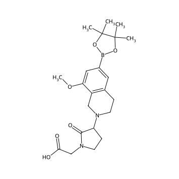 COc1cc(B2OC(C)(C)C(C)(C)O2)cc2c1CN(C1CCN(CC(=O)O)C1=O)CC2